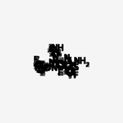 N#Cc1c(N)sc2c(F)ccc(-c3c(Cl)cc4c(N5CC[C@]6(CCN6)C5)nc(OC[C@@]56CCCN5C[C@H](F)C6)nc4c3F)c12